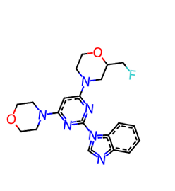 FCC1CN(c2cc(N3CCOCC3)nc(-n3cnc4ccccc43)n2)CCO1